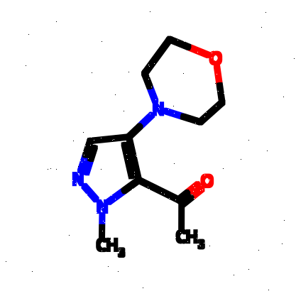 CC(=O)c1c(N2CCOCC2)cnn1C